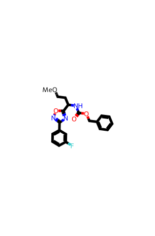 COCCC(NC(=O)OCc1ccccc1)c1nc(-c2cccc(F)c2)no1